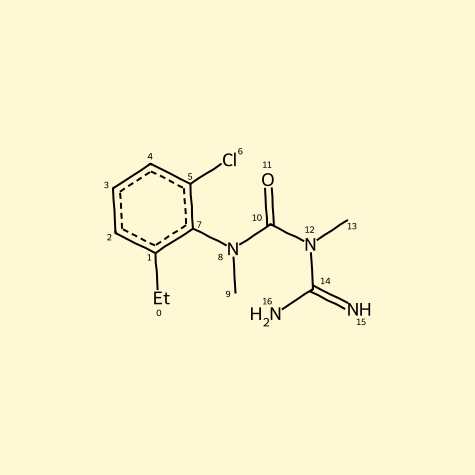 CCc1cccc(Cl)c1N(C)C(=O)N(C)C(=N)N